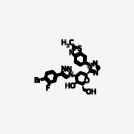 Cc1nc2ccc(-n3ncnc3[C@H]3C[C@@H](n4cc(-c5ccc(Br)c(F)c5)nn4)[C@@H](O)[C@@H](CO)O3)cc2s1